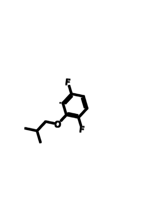 CC(C)COc1[c]c(F)ccc1F